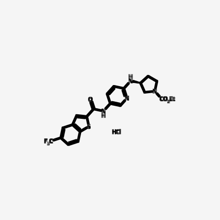 CCOC(=O)N1CC[C@H](Nc2ccc(NC(=O)c3cc4cc(C(F)(F)F)ccc4s3)cn2)C1.Cl